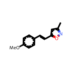 COc1ccc(/C=C/c2cc(C)no2)cc1